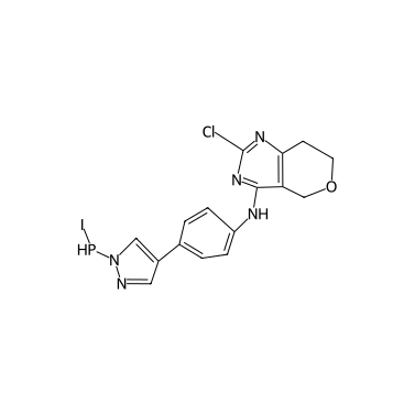 Clc1nc2c(c(Nc3ccc(-c4cnn(PI)c4)cc3)n1)COCC2